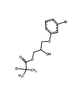 CCC(C)(C)C(=O)OCC(O)COc1cccc(Br)c1